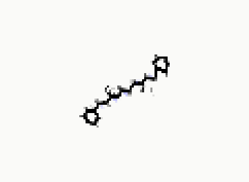 CC(/C=C/c1ccccc1)=C\C=C\C=C(C)\C=C\c1ccccc1